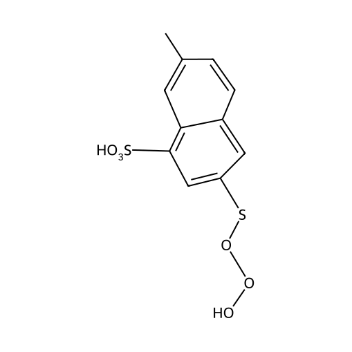 Cc1ccc2cc(SOOO)cc(S(=O)(=O)O)c2c1